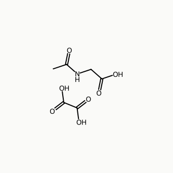 CC(=O)NCC(=O)O.O=C(O)C(=O)O